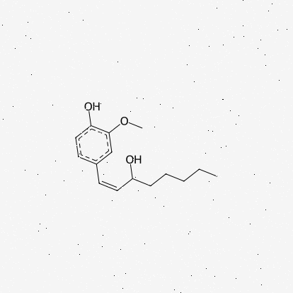 CCCCCC(O)/C=C\c1ccc(O)c(OC)c1